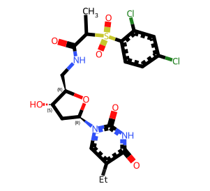 CCc1cn([C@H]2C[C@H](O)[C@@H](CNC(=O)C(C)S(=O)(=O)c3ccc(Cl)cc3Cl)O2)c(=O)[nH]c1=O